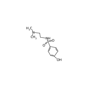 CN(C)CCNS(=O)(=O)c1ccc(O)cc1